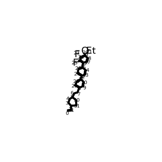 C=CC1CCC(CCc2ccc(-c3ccc(-c4ccc(OCC)c(F)c4F)cc3)cc2)CC1